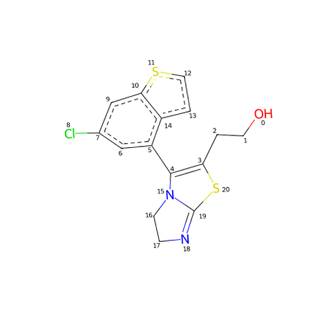 OCCC1=C(c2cc(Cl)cc3sccc23)N2CCN=C2S1